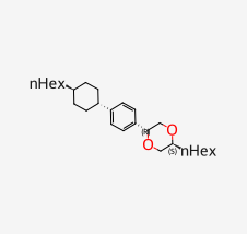 CCCCCC[C@H]1CO[C@H](c2ccc([C@H]3CC[C@H](CCCCCC)CC3)cc2)CO1